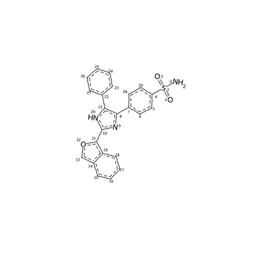 NS(=O)(=O)c1ccc(-c2nc(-c3occ4ccccc34)[nH]c2-c2ccccc2)cc1